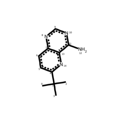 CC(C)(C)c1ccc2ncnc(N)c2n1